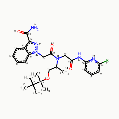 CC(CO[Si](C)(C)C(C)(C)C)N(CC(=O)Nc1cccc(Br)n1)C(=O)Cn1nc(C(N)=O)c2ccccc21